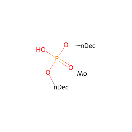 CCCCCCCCCCOP(=O)(O)OCCCCCCCCCC.[Mo]